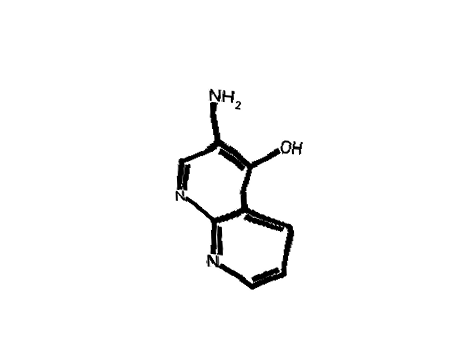 Nc1cnc2ncccc2c1O